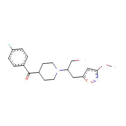 COc1cc(CC(CO)N2CCC(C(=O)c3ccc(F)cc3)CC2)on1